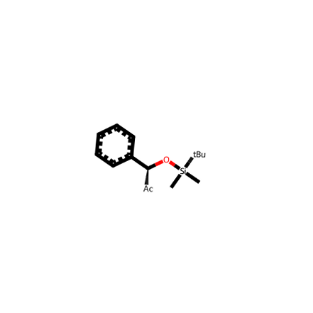 CC(=O)[C@H](O[Si](C)(C)C(C)(C)C)c1ccccc1